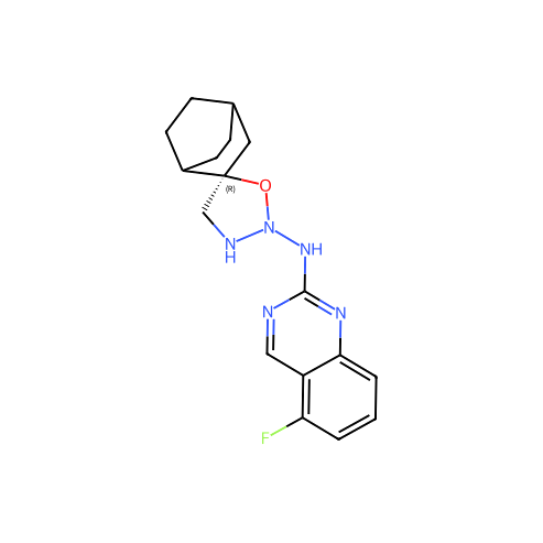 Fc1cccc2nc(NN3NC[C@]4(CC5CCC4CC5)O3)ncc12